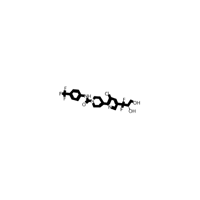 O=C(Nc1ccc(C(F)(F)F)cc1)N1CC=C(c2ncc(C(F)(F)[C@@H](O)CO)cc2Cl)CC1